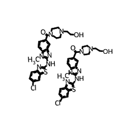 Cn1c(Nc2nc3ccc(Cl)cc3s2)nc2cc(C(=O)N3CCN(CCO)CC3)ccc21.Cn1c(Nc2nc3ccc(Cl)cc3s2)nc2cc(C(=O)N3CCN(CCO)CC3)ccc21